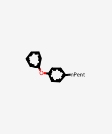 CCCCCc1ccc(Oc2ccccc2)cc1